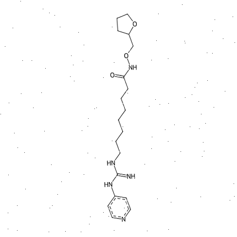 N=C(NCCCCCCCC(=O)NOCC1CCCO1)Nc1ccncc1